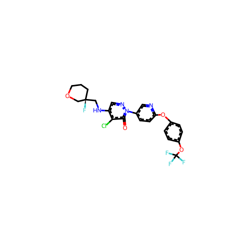 O=c1c(Cl)c(NC[C@@]2(F)CCCOC2)cnn1-c1ccc(Oc2ccc(OC(F)(F)F)cc2)nc1